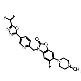 CN1CCN(c2cc3oc(=O)n(Cc4ccc(-c5nnc(C(F)F)o5)cn4)c3cc2F)CC1